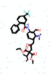 CCOC(=O)C(CC(=O)Cc1ccc(NC(=O)c2cc(C(F)(F)F)ccc2-c2ccccc2)c(C=O)c1N(C)C)(C(=O)OCC)C(C)CC